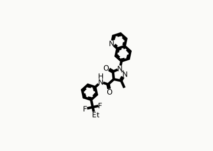 CCC(F)(F)c1cccc(NC(=O)C2C(=O)N(c3ccc4cccnc4c3)N=C2C)c1